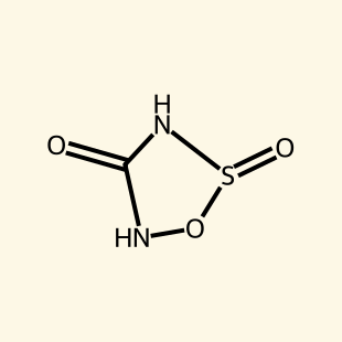 O=C1NOS(=O)N1